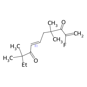 C=C(F)C(=O)C(C)(C)C/C=C/C(=O)C(C)(C)CC